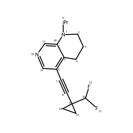 CC(C)N1CCCc2c(C#CC3(C(F)F)CC3)cncc21